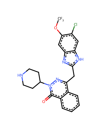 O=c1c2ccccc2c(Cc2nc3cc(OC(F)(F)F)c(Cl)cc3[nH]2)nn1C1CCNCC1